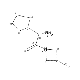 N[C@H](C(=O)N1CC(F)C1)C1CCCC1